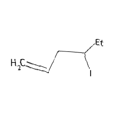 C=CCC(I)CC